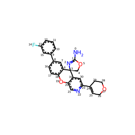 NC1=N[C@@]2(CO1)c1cc(-c3cccc(F)c3)ccc1Oc1cnc(C3=CCOCC3)cc12